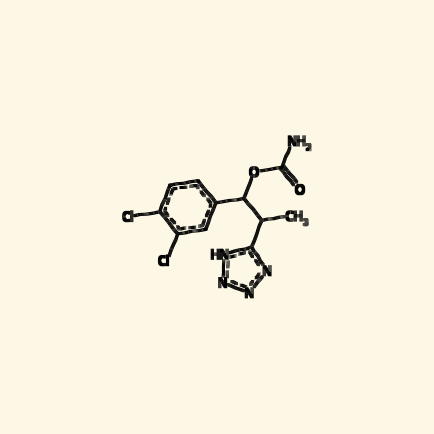 CC(c1nnn[nH]1)C(OC(N)=O)c1ccc(Cl)c(Cl)c1